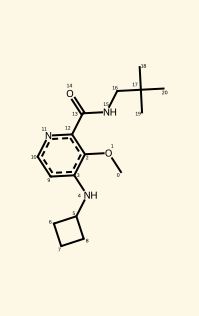 COc1c(NC2CCC2)ccnc1C(=O)NCC(C)(C)C